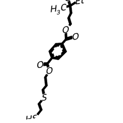 CCC(C)(C)CCCOC(=O)c1ccc(C(=O)OCCCSCCS)cc1